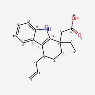 C=CCC1CCC(CC)(CC(=O)O)c2[nH]c3ccccc3c21